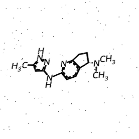 Cc1cc(Nc2ccc3c(n2)CC[C@@H]3N(C)C)n[nH]1